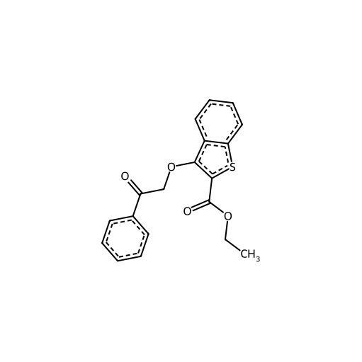 CCOC(=O)c1sc2ccccc2c1OCC(=O)c1ccccc1